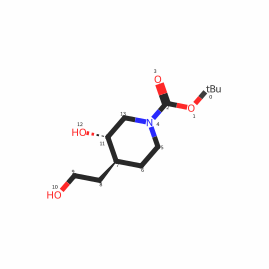 CC(C)(C)OC(=O)N1CC[C@@H](CCO)[C@H](O)C1